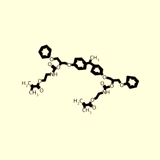 C=C(C)C(=O)OCCNC(=O)OC(COc1ccccc1)COc1ccc(C(C)c2ccc(OCC(COc3ccccc3)OC(=O)NCCOC(=O)C(=C)C)cc2)cc1